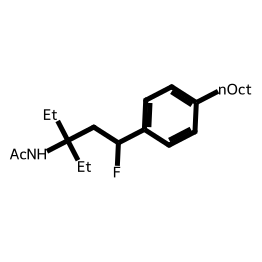 CCCCCCCCc1ccc(C(F)CC(CC)(CC)NC(C)=O)cc1